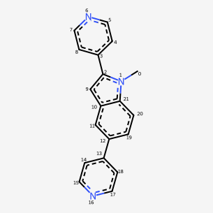 Cn1c(-c2ccncc2)cc2cc(-c3ccncc3)ccc21